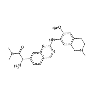 COc1cc2c(cc1Nc1ncc3ccc(C(N)C(=O)N(C)C)cc3n1)CN(C)CC2